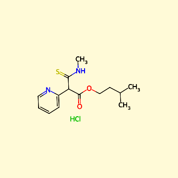 CNC(=S)C(C(=O)OCCC(C)C)c1ccccn1.Cl